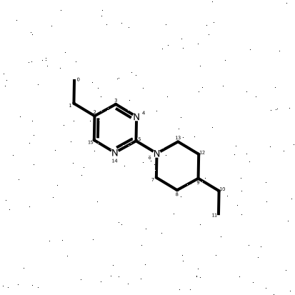 CCc1cnc(N2CCC(CC)CC2)nc1